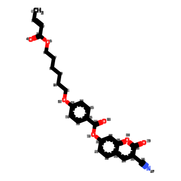 CC=CC(=O)OCCCCCCOc1ccc(C(=O)Oc2ccc3cc(C#N)c(=O)oc3c2)cc1